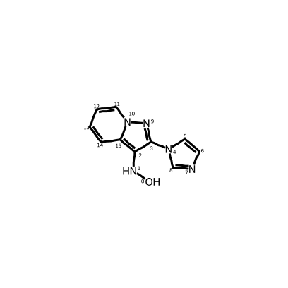 ONc1c(-n2ccnc2)nn2ccccc12